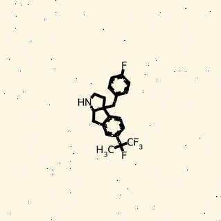 CC(F)(c1ccc2c(c1)CC1NCCC21Cc1ccc(F)cc1)C(F)(F)F